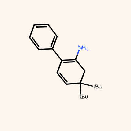 CC(C)(C)C1(C(C)(C)C)C=CC(c2ccccc2)=C(N)C1